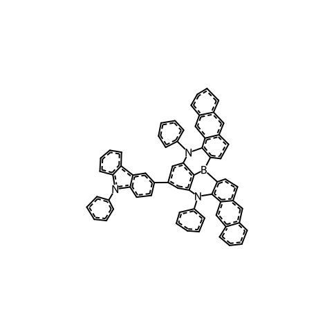 c1ccc(N2c3cc(-c4ccc5c(c4)c4ccccc4n5-c4ccccc4)cc4c3B(c3ccc5cc6ccccc6cc5c32)c2ccc3cc5ccccc5cc3c2N4c2ccccc2)cc1